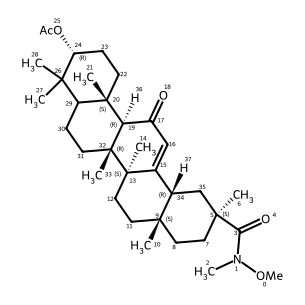 CON(C)C(=O)[C@@]1(C)CC[C@]2(C)CC[C@]3(C)C(=CC(=O)[C@@H]4[C@@]5(C)CC[C@@H](OC(C)=O)C(C)(C)C5CC[C@]43C)[C@@H]2C1